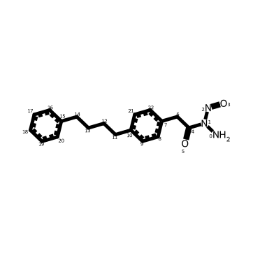 NN(N=O)C(=O)Cc1ccc(CCCCc2ccccc2)cc1